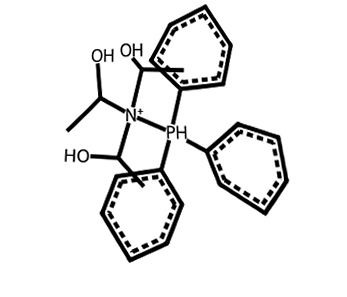 CC(O)[N+](C(C)O)(C(C)O)[PH](c1ccccc1)(c1ccccc1)c1ccccc1